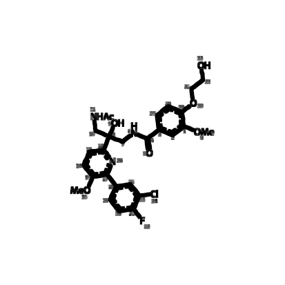 COc1cc(C(=O)NCC(O)(CNC(C)=O)c2ccc(OC)c(-c3ccc(F)c(Cl)c3)n2)ccc1OCCO